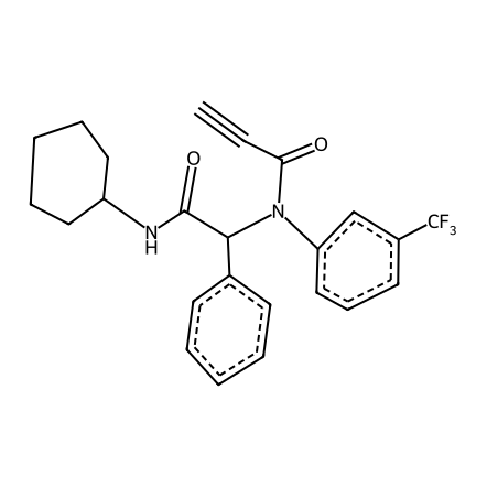 C#CC(=O)N(c1cccc(C(F)(F)F)c1)C(C(=O)NC1CCCCC1)c1ccccc1